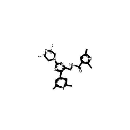 Cc1cc(-c2sc(N3C[C@@H](C)O[C@@H](C)C3)nc2CNC(=O)c2cc(C)sc2C)cc(C)n1